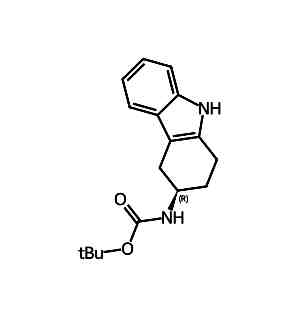 CC(C)(C)OC(=O)N[C@@H]1CCc2[nH]c3ccccc3c2C1